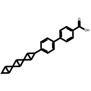 O=C(O)c1ccc(-c2ccc(C3C4C3C43C4C3C43C4CC43)cc2)cc1